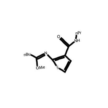 CCCC/C(=N/c1sccc1C(=O)NCCC)OC